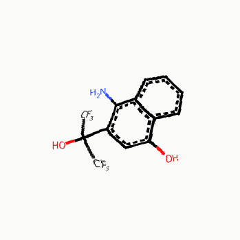 Nc1c(C(O)(C(F)(F)F)C(F)(F)F)cc(O)c2ccccc12